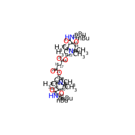 CCCCC1(CCCC)NC(=O)C2(CC(C)(C)N(CCOC(=O)CCC(=O)OCCN3C(C)(C)CC4(CC3(C)C)OC(CCCC)(CCCC)NC4=O)C(C)(C)C2)O1